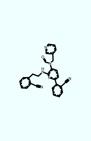 N#Cc1ccccc1CCNc1nc(-c2ccccc2C#N)ccc1N(C=O)Cc1cccnc1